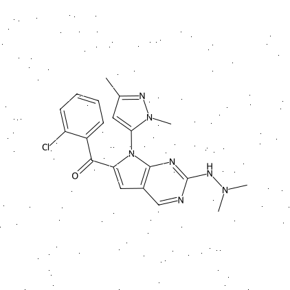 Cc1cc(-n2c(C(=O)c3ccccc3Cl)cc3cnc(NN(C)C)nc32)n(C)n1